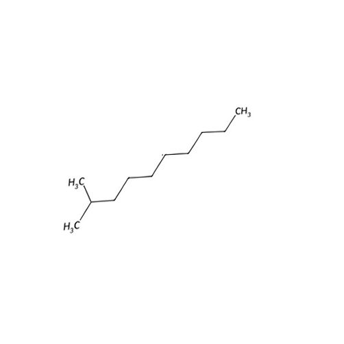 CCCC[CH]CCCC(C)C